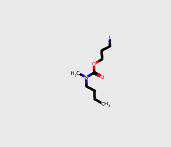 CCCCN(C)C(=O)OCCCI